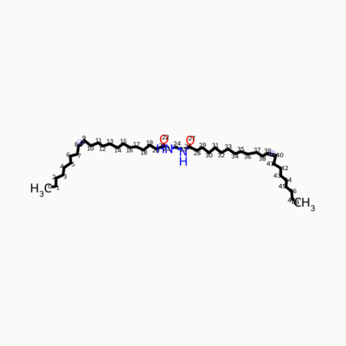 CCCCCCCC/C=C\CCCCCCCCCCCC(=O)NCNC(=O)CCCCCCCCCCC/C=C\CCCCCCCC